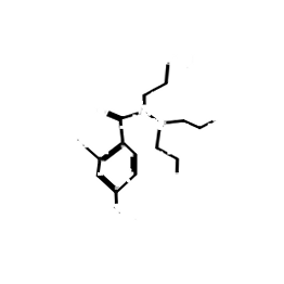 O=C(O)CCN(C(=O)c1ccc([N+](=O)[O-])cc1[N+](=O)[O-])N(CCCl)CCCl